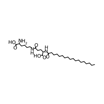 CCCCCCCCCCCCCCCCCC(=O)NC(CCC(=O)NCCCCC(N)C(=O)O)C(=O)O